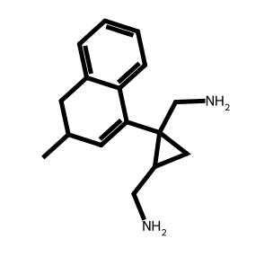 CC1C=C(C2(CN)CC2CN)c2ccccc2C1